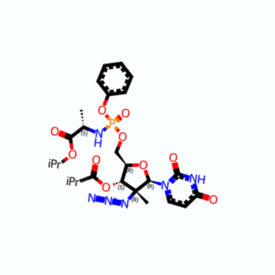 CC(C)OC(=O)[C@H](C)NP(=O)(OC[C@H]1O[C@@H](n2ccc(=O)[nH]c2=O)[C@](C)(N=[N+]=[N-])[C@@H]1OC(=O)C(C)C)Oc1ccccc1